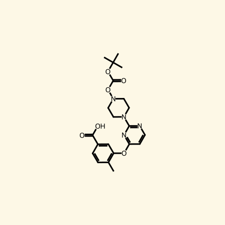 Cc1ccc(C(=O)O)cc1Oc1ccnc(N2CCN(OC(=O)OC(C)(C)C)CC2)n1